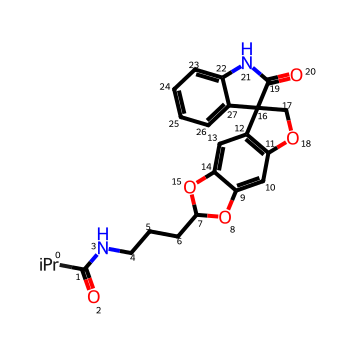 CC(C)C(=O)NCCCC1Oc2cc3c(cc2O1)C1(CO3)C(=O)Nc2ccccc21